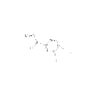 COC(=O)c1ccc(C(F)(F)F)c(Br)c1